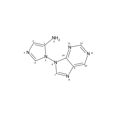 Nc1cncn1-n1cnc2cncnc21